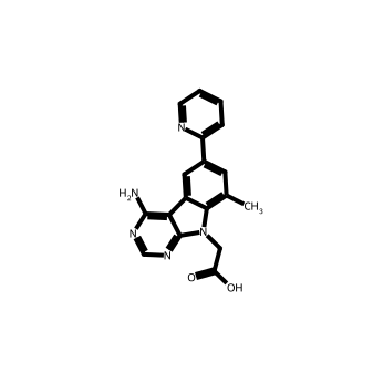 Cc1cc(-c2ccccn2)cc2c3c(N)ncnc3n(CC(=O)O)c12